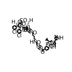 CC(C)(C)[C@@H](CS(=O)(=O)N1CCN(C(=O)CCCCNC(=O)CN2CCN(C(=O)c3ccc(Nc4nc(C5CC5)cn5c(-c6cn[nH]c6)cnc45)c(F)c3)CC2)CC1)N1C(=O)[C@@](C)(CC(=O)O)C[C@H](c2cccc(Cl)c2)[C@H]1c1ccc(Cl)cc1